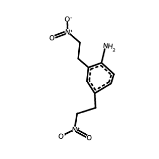 Nc1ccc(CC[N+](=O)[O-])cc1CC[N+](=O)[O-]